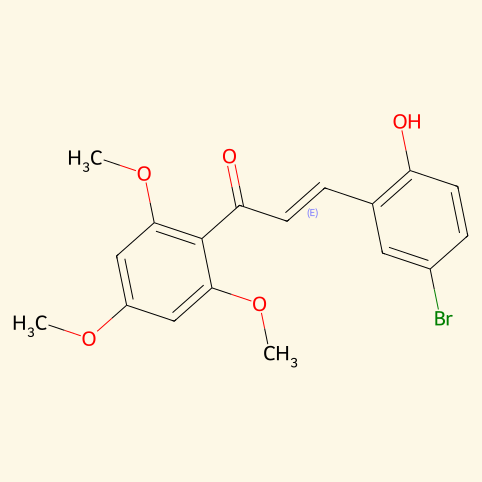 COc1cc(OC)c(C(=O)/C=C/c2cc(Br)ccc2O)c(OC)c1